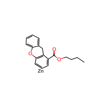 CCCCOC(=O)c1cccc2c1Cc1ccccc1O2.[Zn]